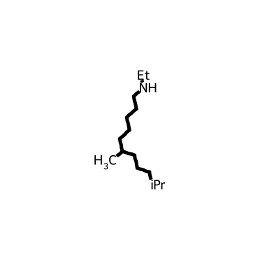 CCNCCCCCC(C)CCCC(C)C